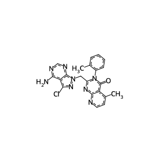 Cc1ccccc1-n1c(Cn2nc(Cl)c3c(N)ncnc32)nc2nccc(C)c2c1=O